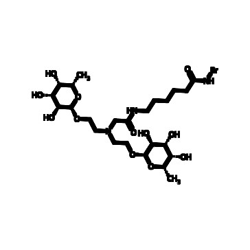 C[C@@H]1O[C@@H](OCCN(CCO[C@@H]2O[C@@H](C)[C@@H](O)[C@@H](O)[C@@H]2O)CC(=O)NCCCCCC(=O)NBr)[C@@H](O)[C@H](O)[C@@H]1O